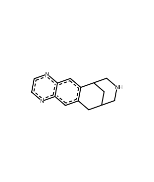 c1cnc2cc3c(cc2n1)CC1CNCC3C1